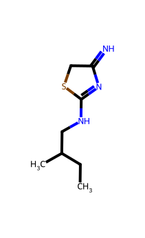 CCC(C)CNC1=NC(=N)CS1